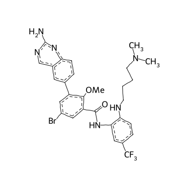 COc1c(C(=O)Nc2cc(C(F)(F)F)ccc2NCCCCN(C)C)cc(Br)cc1-c1ccc2nc(N)ncc2c1